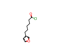 O=C(Cl)CCCCCc1ccoc1